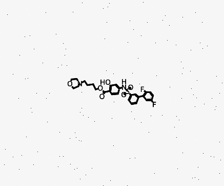 O=C(OCCCCN1CCOCC1)c1ccc(NS(=O)(=O)c2cccc(-c3cc(F)ccc3F)c2)cc1O